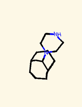 C1CC2CCCC(C1)C2N1CCNCC1